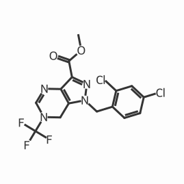 COC(=O)c1nn(Cc2ccc(Cl)cc2Cl)c2c1N=CN(C(F)(F)F)C2